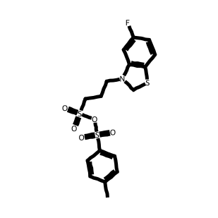 Cc1ccc(S(=O)(=O)OS(=O)(=O)CCCN2CSc3ccc(F)cc32)cc1